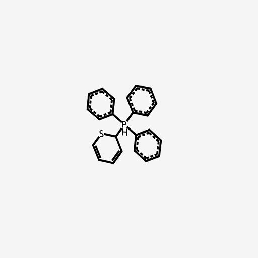 C1=CSC([PH](c2ccccc2)(c2ccccc2)c2ccccc2)C=C1